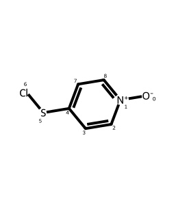 [O-][n+]1ccc(SCl)cc1